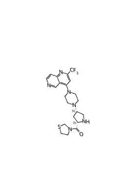 O=C([C@@H]1C[C@H](N2CCN(c3cc(C(F)(F)F)nc4ccncc34)CC2)CN1)N1CCSC1